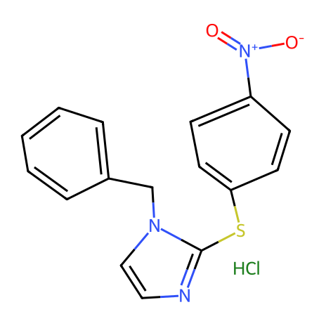 Cl.O=[N+]([O-])c1ccc(Sc2nccn2Cc2ccccc2)cc1